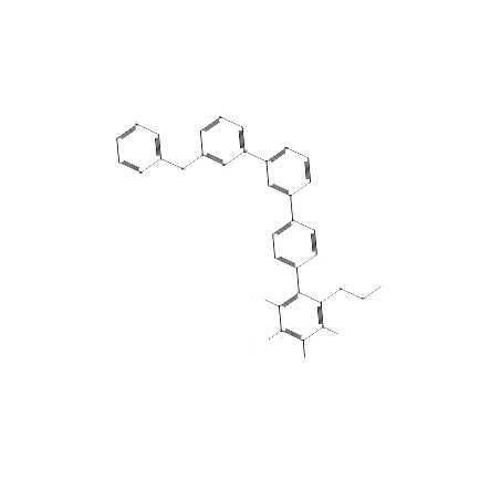 CCCc1c(O)c(O)c(O)c(O)c1-c1ccc(-c2cccc(-c3cccc(Cc4ccccc4)c3)c2)cc1